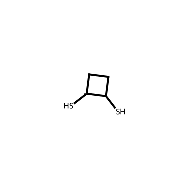 S[C]1CCC1S